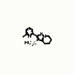 Cc1cccc(-c2nn3c(c2C(=O)O)C=CCC3)n1